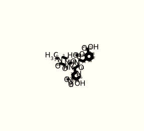 CCN1CCN(C(=O)NC(C(=O)N[C@H]2Cc3cccc(C(=O)O)c3OB2O)c2cc([N+](=O)[O-])c(O)cn2)C(=O)C1=O